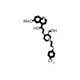 COc1ccc2nccc(C(O)CC[C@@H]3CCN(CCSc4ccc(C(F)(F)F)cc4)C[C@@H]3CO)c2c1